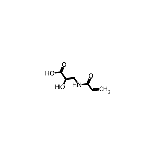 C=CC(=O)NCC(O)C(=O)O